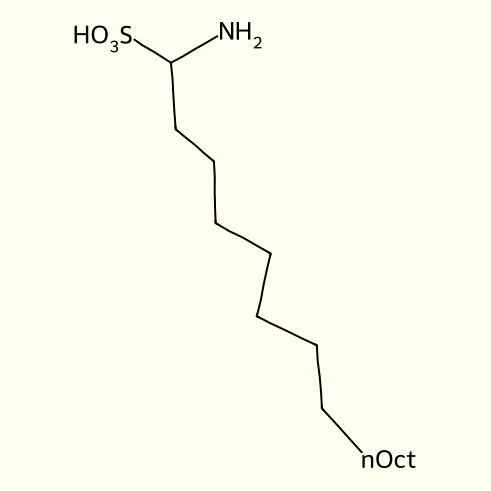 CCCCCCCCCCCCCCCC(N)S(=O)(=O)O